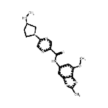 CN[C@@H]1CCN(c2cnc(C(=O)Nc3cc(OC)c4nc(C)oc4c3)cn2)C1